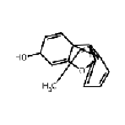 CC1=CC23C=CC(O)C=C2Oc2cccc(c23)C=N1